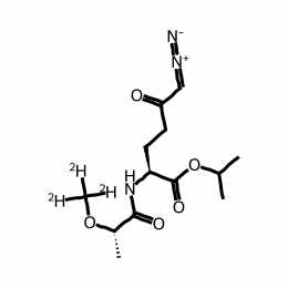 [2H]C([2H])([2H])O[C@@H](C)C(=O)N[C@@H](CCC(=O)C=[N+]=[N-])C(=O)OC(C)C